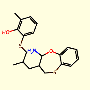 Cc1cccc(SCC(C)CC2CSc3ccccc3OC2N)c1O